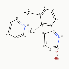 Br.Br.Cc1ccccc1C.c1ccncc1.c1ccncc1